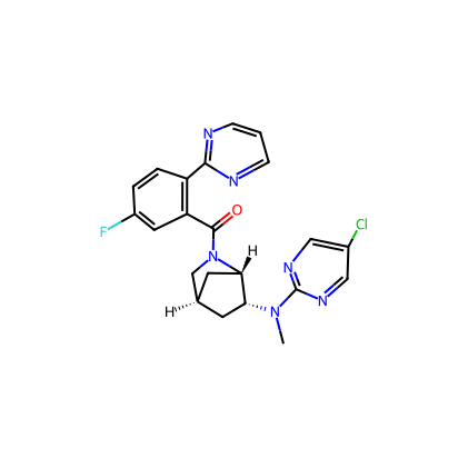 CN(c1ncc(Cl)cn1)[C@@H]1C[C@@H]2C[C@@H]1N(C(=O)c1cc(F)ccc1-c1ncccn1)C2